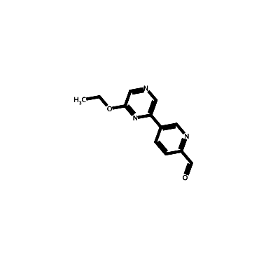 CCOc1cncc(-c2ccc(C=O)nc2)n1